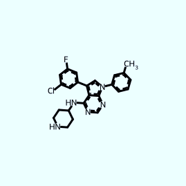 Cc1cccc(-n2cc(-c3cc(F)cc(Cl)c3)c3c(NC4CCNCC4)ncnc32)c1